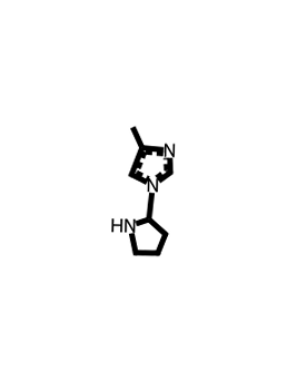 Cc1cn(C2CCCN2)cn1